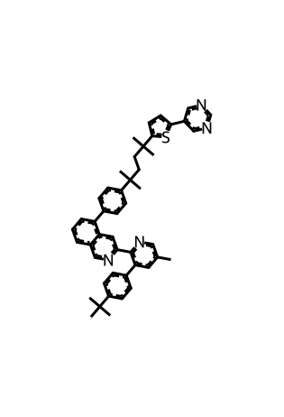 Cc1cnc(-c2cc3c(-c4ccc(C(C)(C)CCC(C)(C)c5ccc(-c6cncnc6)s5)cc4)cccc3cn2)c(-c2ccc(C(C)(C)C)cc2)c1